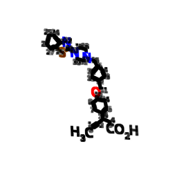 CC#CC(CC(=O)O)c1ccc(OCc2ccc(CN3CCN(c4nc5ccccc5s4)CC3)cc2)cc1